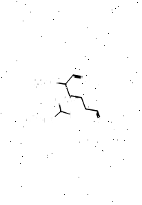 C=CCCCC(C=C)OC.CCCCCC(CC)OC